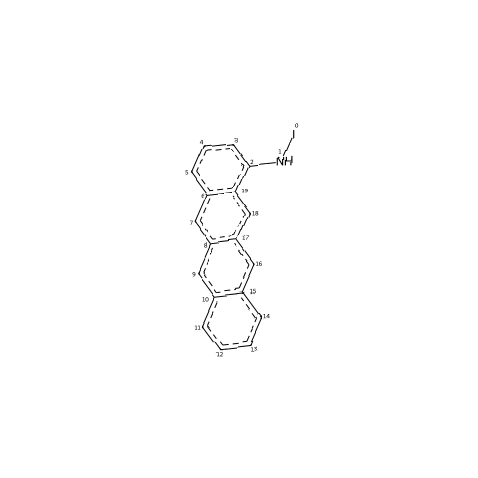 INc1cccc2cc3cc4ccccc4cc3cc12